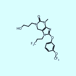 CN1C(=O)N(CCCO)Cc2c1nc(Oc1cccc(OC(F)(F)F)c1)n2CCC(F)(F)F